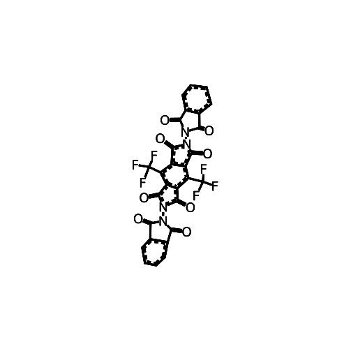 O=C1c2ccccc2C(=O)N1n1c(=O)c2c(C(F)(F)F)c3c(=O)n(N4C(=O)c5ccccc5C4=O)c(=O)c3c(C(F)(F)F)c2c1=O